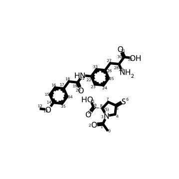 CC(=O)N1CC(=S)C[C@H]1C(=O)O.COc1ccc(CC(=O)Nc2cccc(CC(N)C(=O)O)c2)cc1